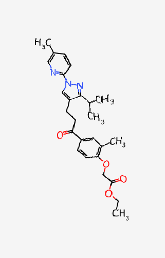 CCOC(=O)COc1ccc(C(=O)CCc2cn(-c3ccc(C)cn3)nc2C(C)C)cc1C